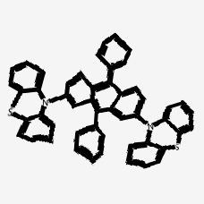 c1ccc(-c2c3ccc(N4c5ccccc5Sc5ccccc54)cc3c(-c3ccccc3)c3cc(N4c5ccccc5Sc5ccccc54)ccc23)cc1